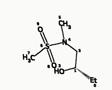 CC[C@H](O)CN(C)S(C)(=O)=O